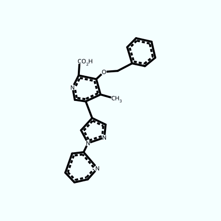 Cc1c(-c2cnn(-c3ccccn3)c2)cnc(C(=O)O)c1OCc1ccccc1